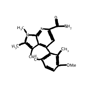 COc1ccc(C)c(-c2cc(C(N)=O)nc3c2c(C#N)c(C)n3C)c1C